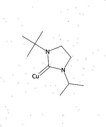 CC(C)N1CCN(C(C)(C)C)[C]1=[Cu]